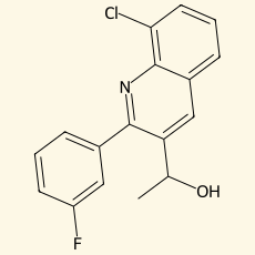 CC(O)c1cc2cccc(Cl)c2nc1-c1cccc(F)c1